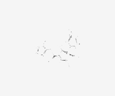 Cn1nnnc1NC(=O)c1nn(C)c(=O)c(-c2cccc(C#N)c2)c1Cl